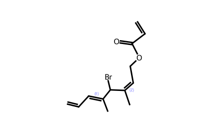 C=C/C=C(\C)C(Br)/C(C)=C\COC(=O)C=C